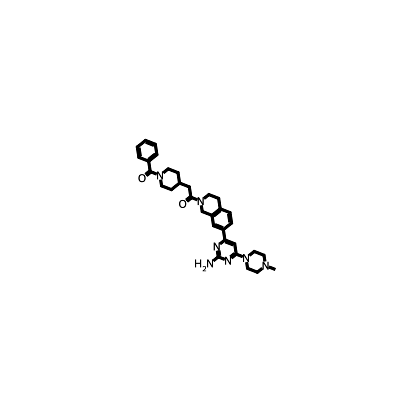 CN1CCN(c2cc(-c3ccc4c(c3)CN(C(=O)CC3CCN(C(=O)c5ccccc5)CC3)CC4)nc(N)n2)CC1